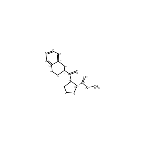 COC(=O)[C@@H]1CCCN1C(=O)C1CCc2ccccc2C1